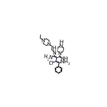 CCN1CCN(CCN/C(N)=C(C(=N)N2CCNCC2)/C(Cl)=C(\N)c2ccccc2)CC1